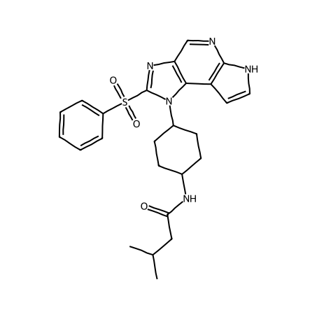 CC(C)CC(=O)NC1CCC(n2c(S(=O)(=O)c3ccccc3)nc3cnc4[nH]ccc4c32)CC1